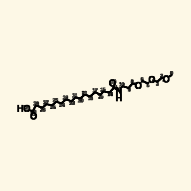 COCCOCCOCCCNC(=O)CCCCCCCCCCCCCCCCC(=O)O